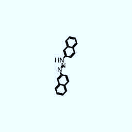 c1ccc2cc(/N=N/Nc3ccc4ccccc4c3)ccc2c1